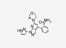 C[C@@H]1COCCN1c1cc(-c2ccccc2[S+](N)[O-])c2cnn(-c3cc[nH]n3)c2n1